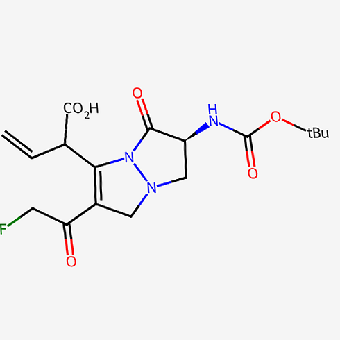 C=CC(C(=O)O)C1=C(C(=O)CF)CN2C[C@H](NC(=O)OC(C)(C)C)C(=O)N12